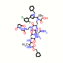 C[C@H](NC(=O)OCc1ccccc1)C(=O)N[C@H](CC(=O)N[C@@H](CC(N)=O)C(=O)N[C@@H](CCN(C(=O)CO)[C@@H](c1cc(-c2cc(F)ccc2F)cn1Cc1ccccc1)C(C)(C)C)C(=O)NCCNC(=O)CN1C(=O)C=CC1=O)C(N)=O